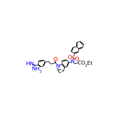 CCOC(=O)CN(c1ccc2c(c1)CCCN2C(=O)CCc1ccc(C(=N)N)cc1)S(=O)(=O)c1ccc2ccccc2c1